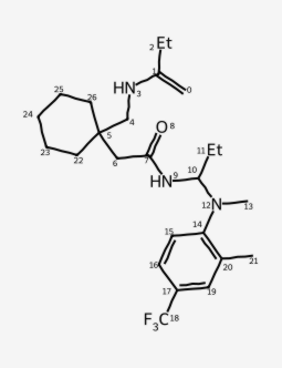 C=C(CC)NCC1(CC(=O)NC(CC)N(C)c2ccc(C(F)(F)F)cc2C)CCCCC1